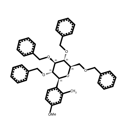 COc1ccc([C@@H]2O[C@H](COCc3ccccc3)[C@@H](OCc3ccccc3)[C@H](OCc3ccccc3)[C@H]2OCc2ccccc2)c(C)c1